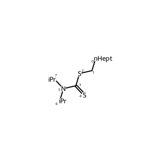 CCCCCCCCSC(=S)N(C(C)C)C(C)C